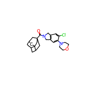 O=C(N1Cc2cc(Cl)c(N3CCOCC3)cc2C1)C12CC3CC4CC(C1)C4(C3)C2